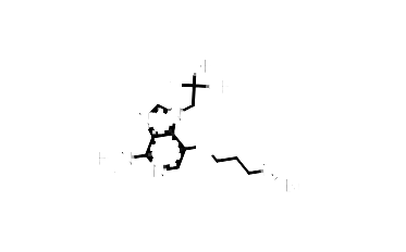 CC(C)(O)Cn1cnc2c(N)ncc(OCCCNC(C)(C)C)c21